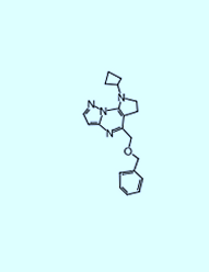 c1ccc(COCc2nc3ccnn3c3c2CCN3C2CCC2)cc1